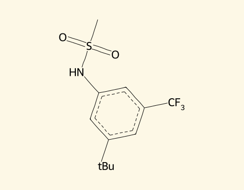 CC(C)(C)c1cc(NS(C)(=O)=O)cc(C(F)(F)F)c1